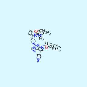 CC(C)(C)[S@@+]([O-])N[C@@H]1c2ccccc2CC12CCN(c1nc3c(c(-c4ccncc4)cn3COCC[Si](C)(C)C)c3nccn13)CC2